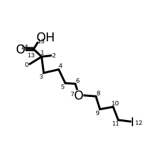 CC(C)(CCCCOCCCCI)C(=O)O